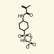 C=C(C)C(=O)NC1CCC(S(=O)(=O)NS(=O)(=O)F)CC1